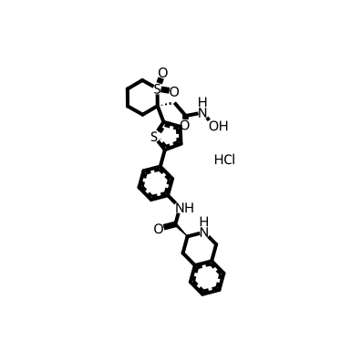 Cl.O=C(C[C@]1(c2ccc(-c3cccc(NC(=O)[C@@H]4Cc5ccccc5CN4)c3)s2)CCCCS1(=O)=O)NO